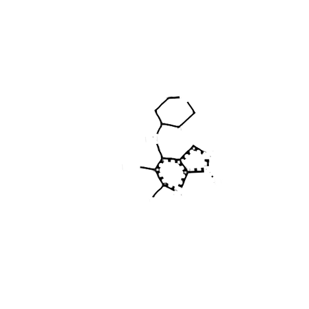 [CH2]c1c(CC)nc2c(cnn2CC)c1NC1CCOCC1